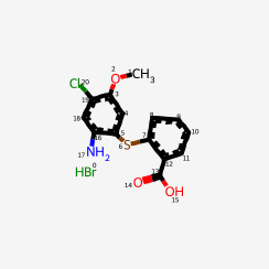 Br.COc1cc(Sc2ccccc2C(=O)O)c(N)cc1Cl